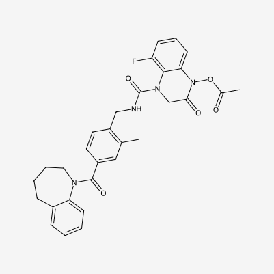 CC(=O)ON1C(=O)CN(C(=O)NCc2ccc(C(=O)N3CCCCc4ccccc43)cc2C)c2c(F)cccc21